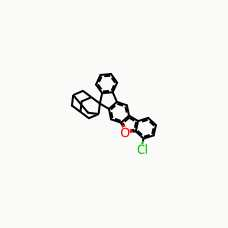 Clc1cccc2c1oc1cc3c(cc12)-c1ccccc1C31C2CC3CC(C2)CC1C3